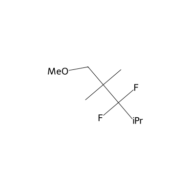 COCC(C)(C)C(F)(F)C(C)C